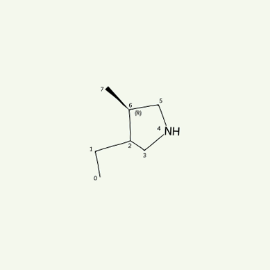 CCC1CNC[C@@H]1C